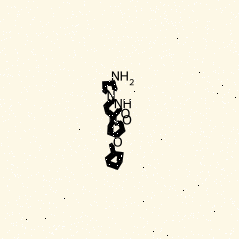 N[C@H]1CCN(c2ccc(-n3ccc(OCc4ccccc4)cc3=O)c(=O)[nH]2)C1